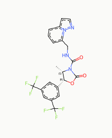 C[C@H]1[C@@H](c2cc(C(F)(F)F)cc(C(F)(F)F)c2)OC(=O)N1C(=O)NCc1cccc2ccnn12